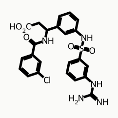 N=C(N)Nc1cccc(S(=O)(=O)Nc2cccc(C(CC(=O)O)NC(=O)c3cccc(Cl)c3)c2)c1